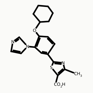 Cc1nc(-c2ccc(OC3CCCCC3)c(-n3ccnc3)c2)sc1C(=O)O